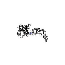 CSOCc1ccc(Oc2ccc(/C=C/C(=O)O[C@@H]3CCCCOC[C@@H](C4(C)OC4CC=C(C)C)[C@@H]3O)cc2)cc1